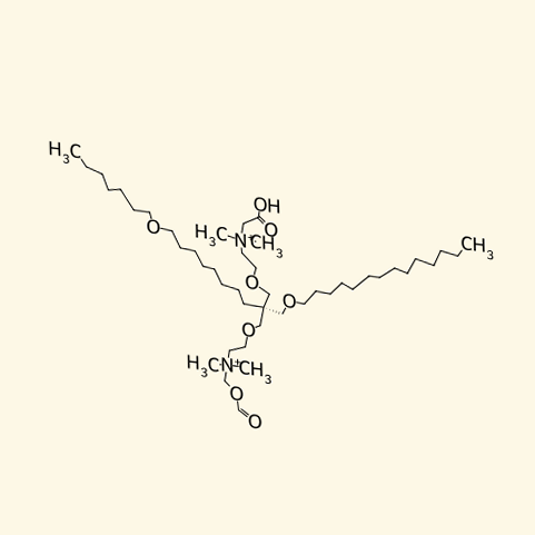 CCCCCCCCCCCCCCOC[C@@](CCCCCCCCOCCCCCCC)(COCC[N+](C)(C)COC=O)COCC[N+](C)(C)CC(=O)O